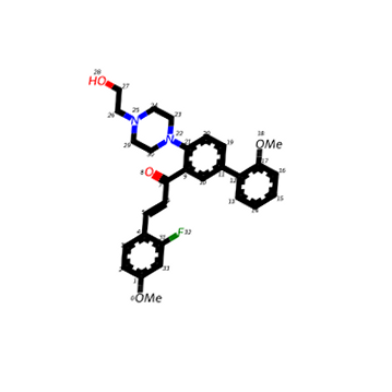 COc1ccc(/C=C/C(=O)c2cc(-c3ccccc3OC)ccc2N2CCN(CCO)CC2)c(F)c1